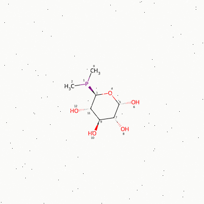 CP(C)[C@H]1O[C@H](O)[C@H](O)[C@@H](O)[C@@H]1O